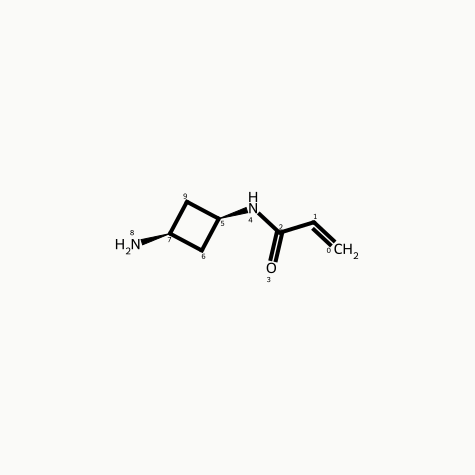 C=CC(=O)N[C@H]1C[C@@H](N)C1